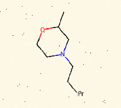 CC(C)CCN1CCOC(C)C1